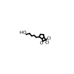 O=C1C2C(CCCCCO)CCC2C1(Cl)Cl